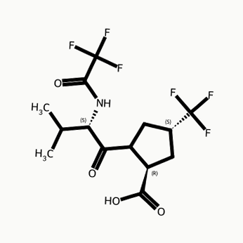 CC(C)[C@H](NC(=O)C(F)(F)F)C(=O)C1C[C@H](C(F)(F)F)C[C@H]1C(=O)O